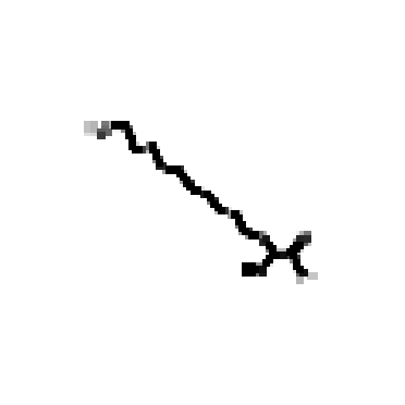 CCCCCCCCCCCSC(O)C(=O)O